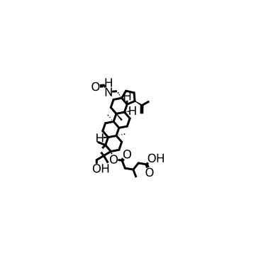 C=C(C)[C@@H]1CC[C@]2(CNC=O)CC[C@]3(C)[C@H](CCC4[C@@]5(C)CC[C@@](OC(=O)CC(C)CC(=O)O)(C(C)(C)CO)C(C)(C)[C@@H]5CC[C@]43C)[C@@H]12